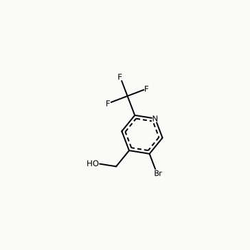 OCc1cc(C(F)(F)F)ncc1Br